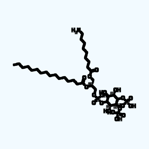 CCCCCCCCCCCCCCCC(=O)O[C@H](COC(=O)CCCCCCCCN)COP(=O)(O)OC1C(O)[C@H](O)C(OP(=O)(O)O)[C@H](OP(=O)(O)O)[C@@H]1O